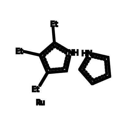 CCc1c[nH]c(CC)c1CC.[Ru].c1cc[nH]c1